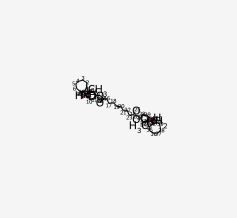 C[C@@]12CCCCC[C@@H](Cc3ccc(OC(=O)CCCCCCCCC(=O)Oc4ccc5c(c4)[C@@]4(C)CCCCC[C@@H](C5)[C@@H]4N)cc31)[C@@H]2N